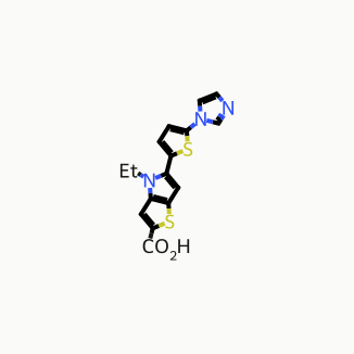 CCn1c(-c2ccc(-n3ccnc3)s2)cc2sc(C(=O)O)cc21